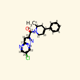 CC1CC(c2ccccc2)=CCN1C(=O)c1cc2ncc(Cl)cn2n1